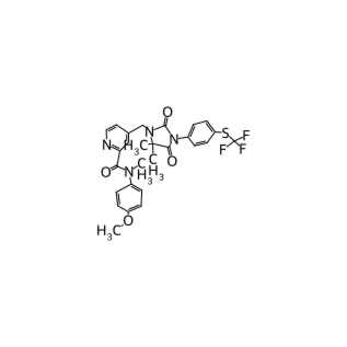 COc1ccc(N(C)C(=O)c2cc(CN3C(=O)N(c4ccc(SC(F)(F)F)cc4)C(=O)C3(C)C)ccn2)cc1